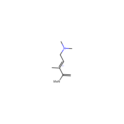 C=C(NC)/C(C)=C/CN(C)C